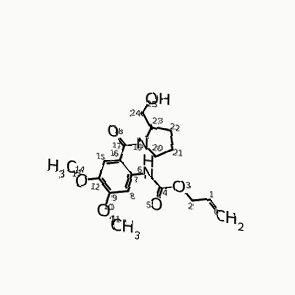 C=CCOC(=O)Nc1cc(OC)c(OC)cc1C(=O)N1CCCC1CO